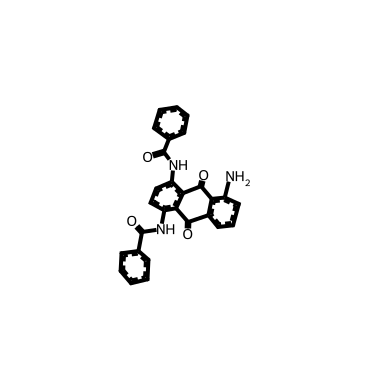 Nc1cccc2c1C(=O)c1c(NC(=O)c3ccccc3)ccc(NC(=O)c3ccccc3)c1C2=O